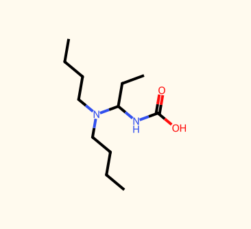 CCCCN(CCCC)C(CC)NC(=O)O